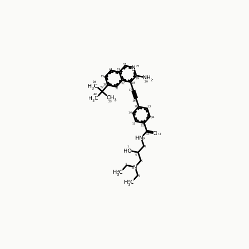 CCN(CC)CC(O)CNC(=O)c1ccc(C#Cc2c(N)ncc3ccc(C(C)(C)C)cc23)cc1